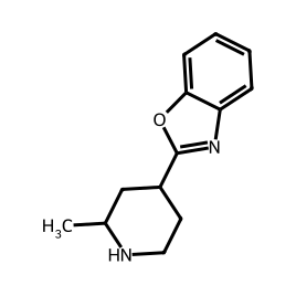 CC1CC(c2nc3ccccc3o2)CCN1